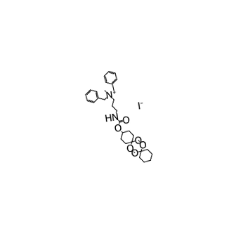 C[N+](CCCNC(=O)OC1CCC2(CC1)OOC1(CCCCC1)OO2)(Cc1ccccc1)Cc1ccccc1.[I-]